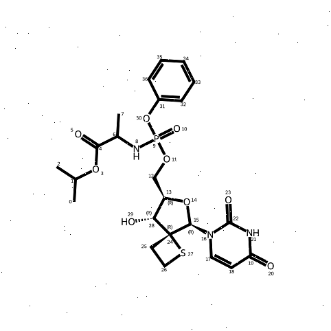 CC(C)OC(=O)C(C)NP(=O)(OC[C@H]1O[C@@H](n2ccc(=O)[nH]c2=O)[C@@]2(CCS2)[C@@H]1O)Oc1ccccc1